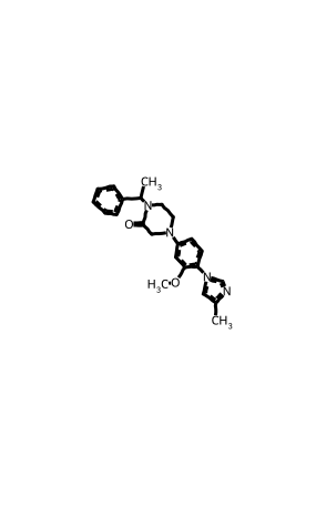 COc1cc(N2CCN(C(C)c3ccccc3)C(=O)C2)ccc1-n1cnc(C)c1